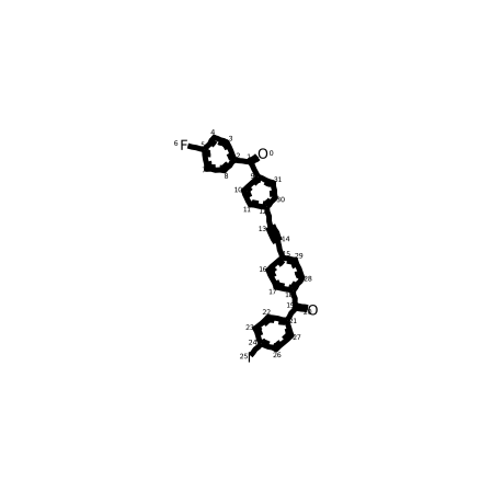 O=C(c1ccc(F)cc1)c1ccc(C#Cc2ccc(C(=O)c3ccc(I)cc3)cc2)cc1